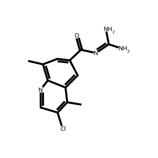 Cc1c(Cl)cnc2c(C)cc(C(=O)N=C(N)N)cc12